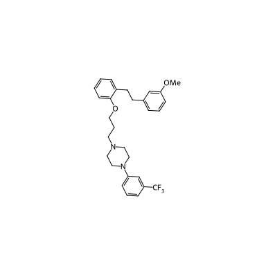 COc1cccc(CCc2ccccc2OCCCN2CCN(c3cccc(C(F)(F)F)c3)CC2)c1